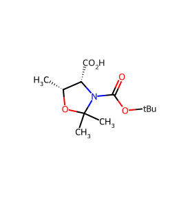 C[C@H]1OC(C)(C)N(C(=O)OC(C)(C)C)[C@H]1C(=O)O